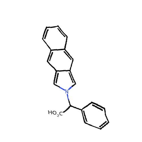 O=C(O)C(c1ccccc1)n1cc2cc3ccccc3cc2c1